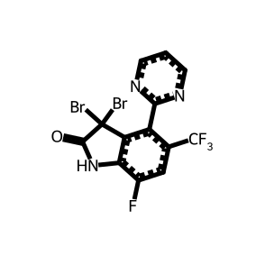 O=C1Nc2c(F)cc(C(F)(F)F)c(-c3ncccn3)c2C1(Br)Br